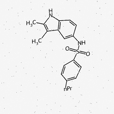 CCCc1ccc(S(=O)(=O)Nc2ccc3[nH]c(C)c(C)c3c2)cc1